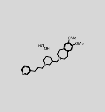 COc1cc2c(cc1OC)CCN(CC1CCCN(CCCc3cccnc3)C1)CC2.Cl.Cl